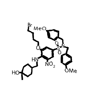 COc1ccc(CN(Cc2ccc(OC)cc2)S(=O)(=O)c2cc(OCCCCBr)c(NCC3CCC(C)(O)CC3)c([N+](=O)[O-])c2)cc1